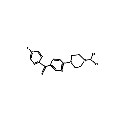 CCC(CC)N1CCN(c2ccc(C(=O)c3ccc(F)cc3)cn2)CC1